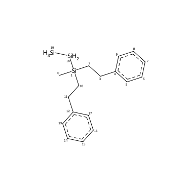 C[Si](CCc1ccccc1)(CCc1ccccc1)[SiH2][SiH3]